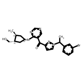 CC(c1cccc(Br)c1)n1ccc(C(=O)c2cncnc2N[C@@H]2C[C@H](CO)[C@@H](C)C2)n1